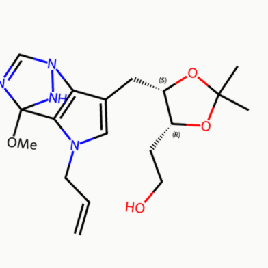 C=CCn1cc(C[C@@H]2OC(C)(C)O[C@@H]2CCO)c2c1C1(OC)N=CN2N1